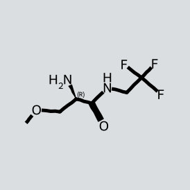 COC[C@@H](N)C(=O)NCC(F)(F)F